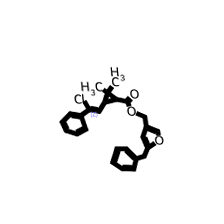 CC1(C)C(/C=C(\Cl)c2ccccc2)C1C(=O)OCc1coc(Cc2ccccc2)c1